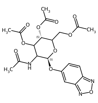 CC(=O)NC1C(OC(C)=O)[C@H](OC(C)=O)C(COC(C)=O)O[C@H]1Oc1ccc2nonc2c1